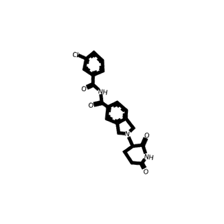 O=C1CCC(N2Cc3ccc(C(=O)NC(=O)c4cccc(Cl)c4)cc3C2)C(=O)N1